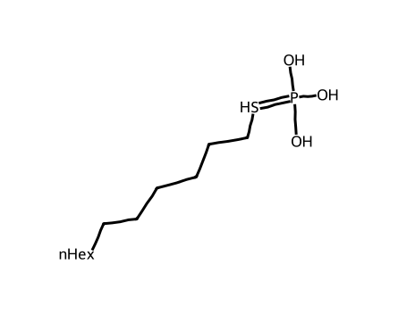 CCCCCCCCCCCC[SH]=P(O)(O)O